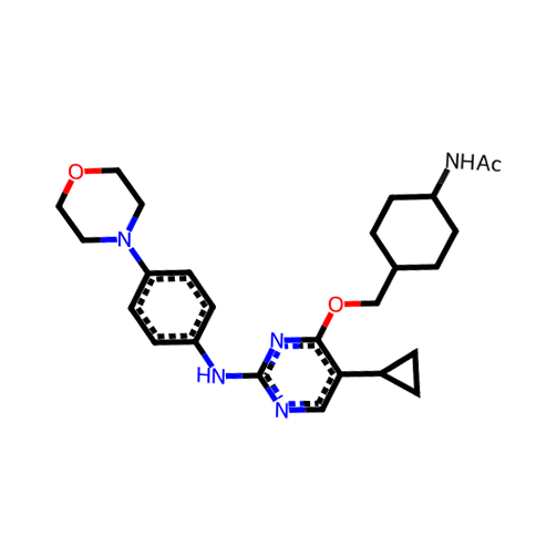 CC(=O)NC1CCC(COc2nc(Nc3ccc(N4CCOCC4)cc3)ncc2C2CC2)CC1